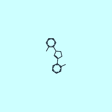 Cc1ccccc1C1=CC(c2ccccc2C)CC1